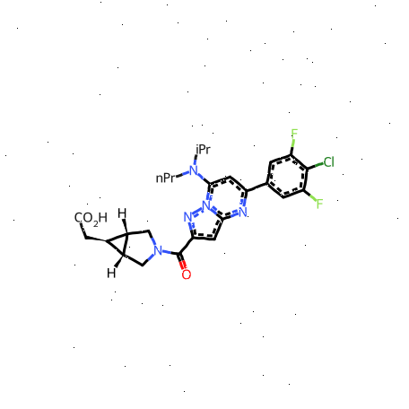 CCCN(c1cc(-c2cc(F)c(Cl)c(F)c2)nc2cc(C(=O)N3C[C@@H]4[C@@H](CC(=O)O)[C@@H]4C3)nn12)C(C)C